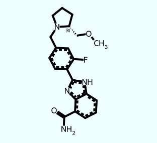 COC[C@H]1CCCN1Cc1ccc(-c2nc3c(C(N)=O)cccc3[nH]2)c(F)c1